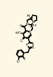 O=C1c2c(O)c(=O)c(-c3nnc(Cc4cccc(Cl)c4F)s3)cn2C[C@@H]2N1C[C@H]1CCCN12